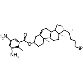 Cc1c(N)cc(N)cc1C(=O)OC1CC[C@@]2(C)C(=CCC3C2CC[C@@]2(C)C3CC[C@@H]2[C@H](C)CCCC(C)C)C1